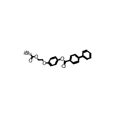 CCC(C)C(=O)OCCOc1ccc(OC(=O)c2ccc(-c3ccccc3)cc2)cc1